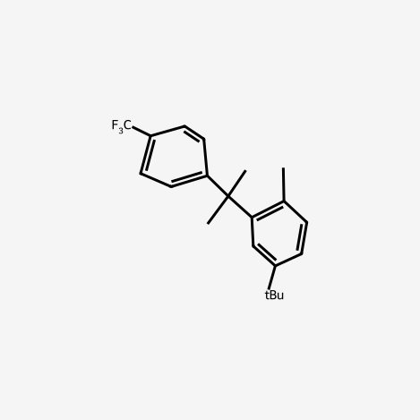 Cc1ccc(C(C)(C)C)cc1C(C)(C)c1ccc(C(F)(F)F)cc1